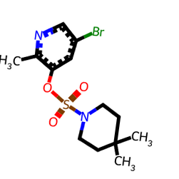 Cc1ncc(Br)cc1OS(=O)(=O)N1CCC(C)(C)CC1